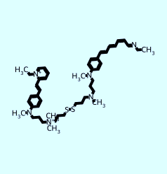 CC/N=C/C=C\C=C\C=C\c1ccc(N(C)CCCN(C)CCCSSCCC[N+](C)(C)CCCN(C)c2ccc(/C=C/c3cccc[n+]3CC)cc2)cc1